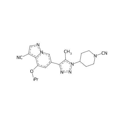 Cc1c(-c2cc(OC(C)C)c3c(C#N)cnn3c2)nnn1C1CCN(C#N)CC1